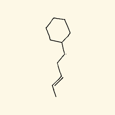 CC=CC[CH]C1CCCCC1